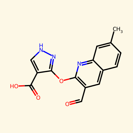 Cc1ccc2cc(C=O)c(Oc3n[nH]cc3C(=O)O)nc2c1